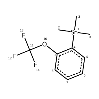 [CH3][Sn]([CH3])([CH3])[c]1ccccc1OC(F)(F)F